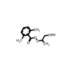 COC[C](C)OOC(=O)c1c(C)cccc1C